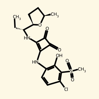 CC[C@@H](Nc1c(Nc2ccc(Cl)c(S(C)(=O)=O)c2O)c(=O)c1=O)[C@H]1CC[C@@H](C)O1